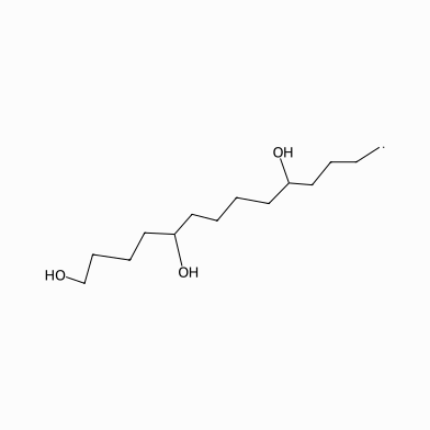 [CH2]CCCC(O)CCCCC(O)CCCCO